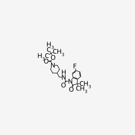 CC(C)(C)OC(=O)N1CCC(CNC(=O)N2C(=O)C(C)(C)c3ccc(F)cc32)CC1